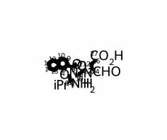 CC(C)[C@H](N)C(=O)N(C(=O)c1ccc2ccccc2c1)[C@@H](C)C(=O)NC(C=O)CCC(=O)O